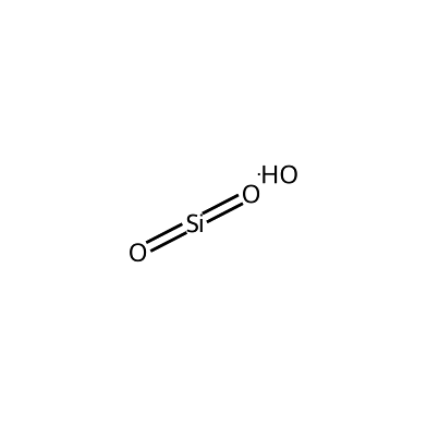 O=[Si]=O.[OH]